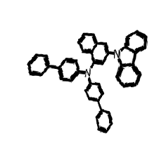 c1ccc(-c2ccc(N(c3ccc(-c4ccccc4)cc3)c3cc(-n4c5ccccc5c5ccccc54)cc4ccccc34)cc2)cc1